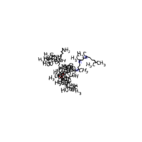 CC(=O)NC1C(O)[C@H](O)[C@H](CO)O[C@H]1O[C@@H]1C(CO)O[C@H](OP(=O)(O)OP(=O)(O)OC/C=C(/C)CC/C=C(/C)CC/C=C(\C)CCC=C(C)C)C(NC(C)=O)[C@H]1O[C@H](C)C(=O)N[C@@H](C)C(=O)N[C@H](CCC(=O)N[C@@H](CCCCN)C(=O)N[C@H](C)C(=O)N[C@H](C)C(=O)O)C(N)=O